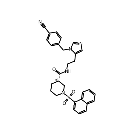 N#Cc1ccc(Cn2cncc2CCNC(=O)[C@H]2CCCN(S(=O)(=O)c3cccc4ccccc34)C2)cc1